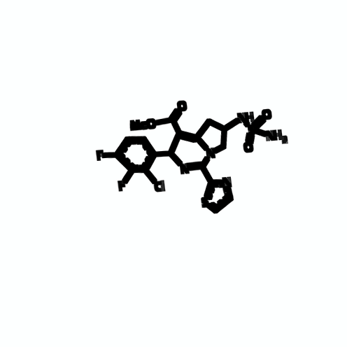 COC(=O)C1=C2CC(NS(N)(=O)=O)CN2C(c2nccs2)=NC1c1ccc(F)c(F)c1Cl